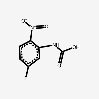 O=C(O)Nc1cc(F)ccc1[N+](=O)[O-]